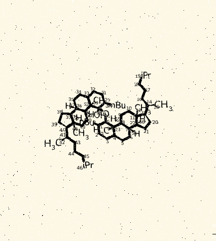 CCCCC1CCC2CC[C@@H]3[C@H](CC[C@]4(C)[C@@H]([C@H](C)CCCC(C)C)CC[C@@H]34)[C@@]2(C)C1OC1(O)C(CCCC)CCC2CC[C@H]3[C@@H]4CC[C@H]([C@H](C)CCCC(C)C)[C@@]4(C)CC[C@@H]3[C@]21C